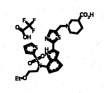 CCOCCN(c1cccc2cc(-c3ncc(CN4CCCC(C(=O)O)C4)s3)[nH]c12)S(=O)(=O)c1cccs1.O=C(O)C(F)(F)F